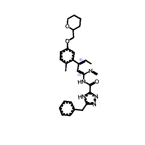 C=N/C(=C\C(=C/C)c1cc(OCC2CCCCO2)ccc1C)NC(=O)c1nnc(Cc2ccccc2)[nH]1